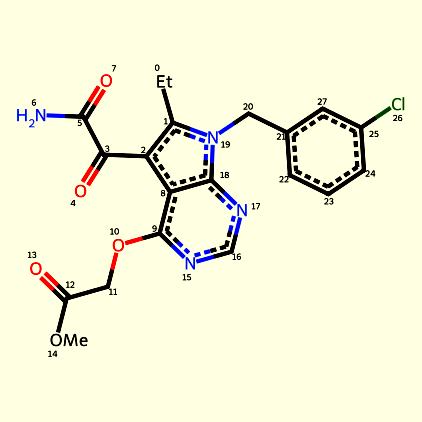 CCc1c(C(=O)C(N)=O)c2c(OCC(=O)OC)ncnc2n1Cc1cccc(Cl)c1